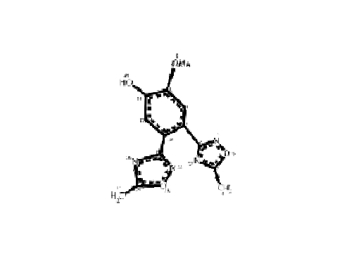 COc1cc(-c2noc(C)n2)c(-c2noc(C)n2)cc1O